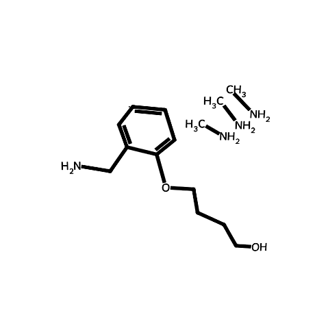 CN.CN.CN.NCc1c[c]ccc1OCCCCO